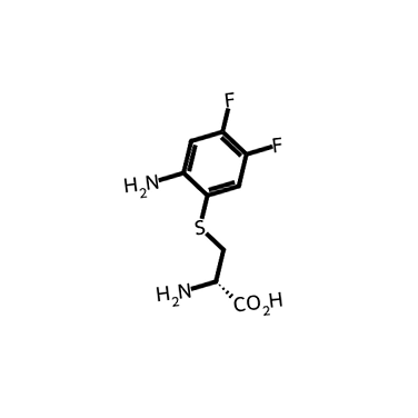 Nc1cc(F)c(F)cc1SC[C@@H](N)C(=O)O